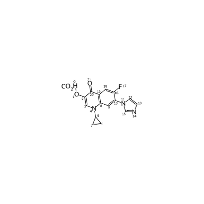 O=C(O)Oc1cn(C2CC2)c2cc(-n3ccnc3)c(F)cc2c1=O